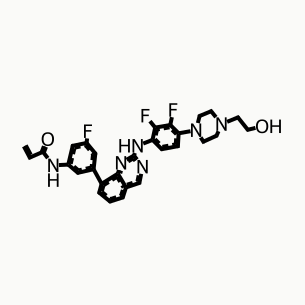 C=CC(=O)Nc1cc(F)cc(-c2cccc3cnc(Nc4ccc(N5CCN(CCO)CC5)c(F)c4F)nc23)c1